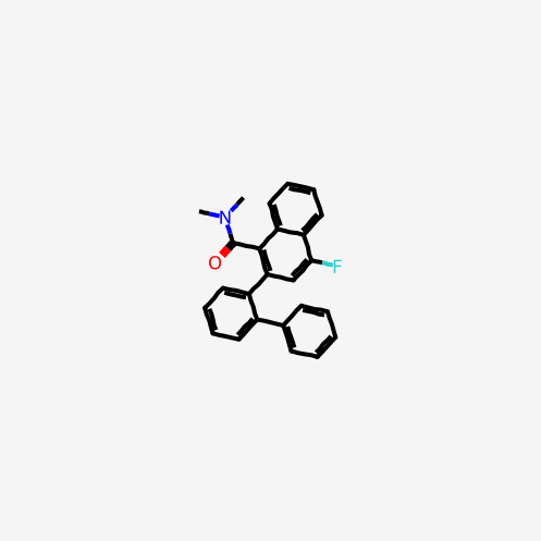 CN(C)C(=O)c1c(-c2ccccc2-c2ccccc2)cc(F)c2ccccc12